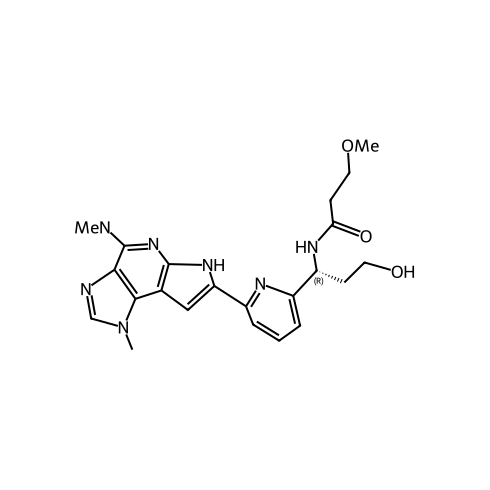 CNc1nc2[nH]c(-c3cccc([C@@H](CCO)NC(=O)CCOC)n3)cc2c2c1ncn2C